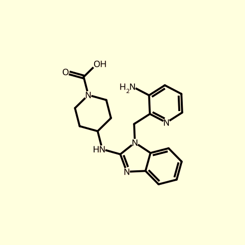 Nc1cccnc1Cn1c(NC2CCN(C(=O)O)CC2)nc2ccccc21